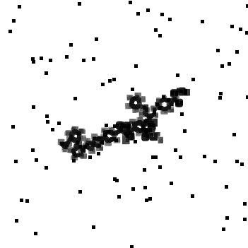 CC(C)(C)OC(=O)N1CCN(CCC(CSc2ccccc2)Nc2ccc(S(=O)(=O)NC(=O)c3ccc(N4CC5(CC(N6CCC[C@H]6c6ccccc6C6CC6)C5)C4)cc3)cc2S(=O)(=O)C(F)(F)F)CC1